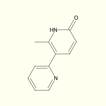 Cc1[nH]c(=O)ccc1-c1ccccn1